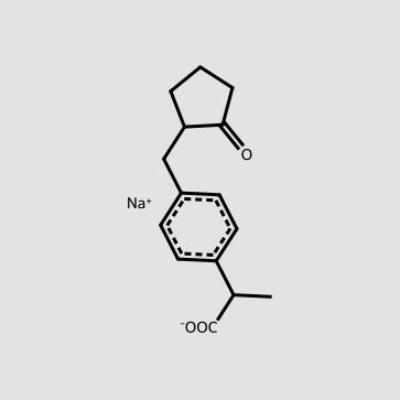 CC(C(=O)[O-])c1ccc(CC2CCCC2=O)cc1.[Na+]